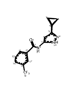 O=C(Nc1cc(C2CC2)n[nH]1)c1cccc(C(F)(F)F)c1